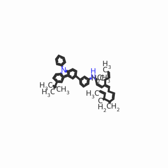 C=C(/C=C\C)C(=C)/C=C\C/C=C(\C=C/C(C)Nc1cccc(-c2ccc3c(c2)c2cc(C(C)(C)C)ccc2n3-c2ccccc2)c1)C(=C)/C=C\C